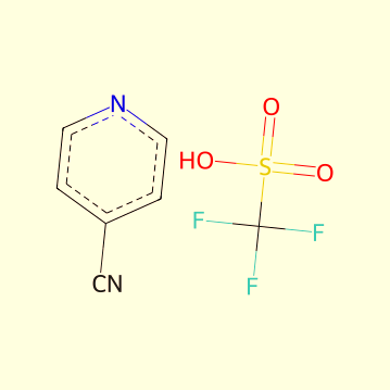 N#Cc1ccncc1.O=S(=O)(O)C(F)(F)F